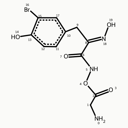 NCC(=O)ONC(=O)/C(Cc1ccc(O)c(Br)c1)=N/O